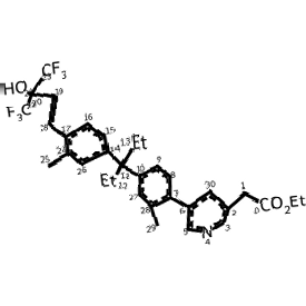 CCOC(=O)Cc1cncc(-c2ccc(C(CC)(CC)c3ccc(C=CC(O)(C(F)(F)F)C(F)(F)F)c(C)c3)cc2C)c1